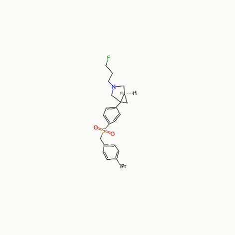 CC(C)c1ccc(CS(=O)(=O)c2ccc(C34C[C@@H]3CN(CCCF)C4)cc2)cc1